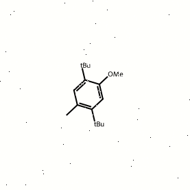 COc1cc(C(C)(C)C)c(C)cc1C(C)(C)C